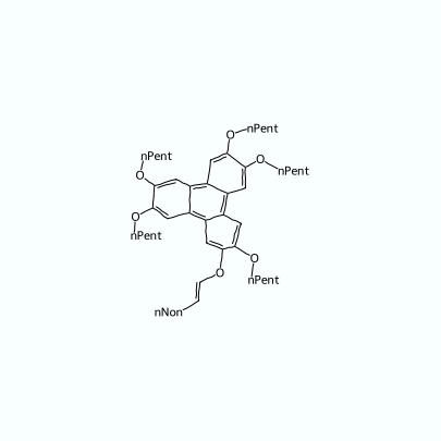 CCCCCCCCC/C=C/Oc1cc2c(cc1OCCCCC)c1cc(OCCCCC)c(OCCCCC)cc1c1cc(OCCCCC)c(OCCCCC)cc21